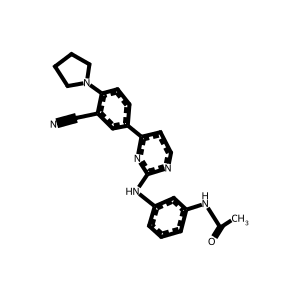 CC(=O)Nc1cccc(Nc2nccc(-c3ccc(N4CCCC4)c(C#N)c3)n2)c1